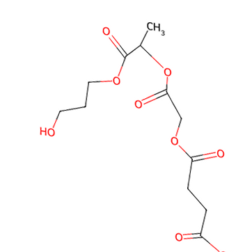 CC(OC(=O)COC(=O)CCC(=O)O)C(=O)OCCCO